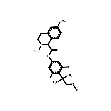 CCOCC(C)(C)c1c(F)cc(NC(=O)C2c3ccc(OC)cc3CCN2C(=O)O)cc1F